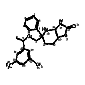 CC(OCC1(c2ccccc2)CCC2OC(=O)NC2N1)c1cc(C(F)(F)F)cc(C(F)(F)F)c1